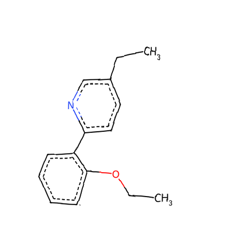 CCOc1[c]cccc1-c1ccc(CC)cn1